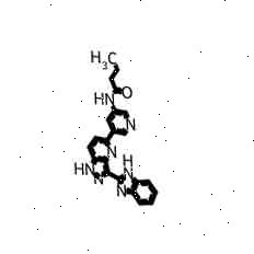 CCCC(=O)Nc1cncc(-c2ccc3[nH]nc(-c4nc5ccccc5[nH]4)c3n2)c1